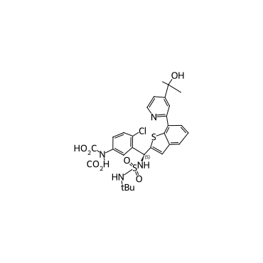 CC(C)(C)NS(=O)(=O)N[C@H](c1cc2cccc(-c3cc(C(C)(C)O)ccn3)c2s1)c1cc(N(C(=O)O)C(=O)O)ccc1Cl